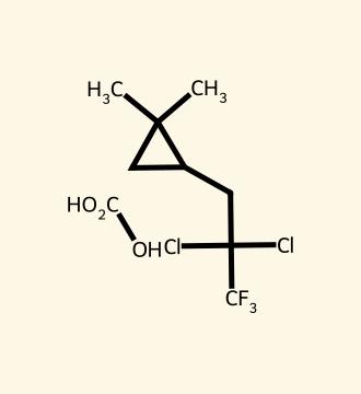 CC1(C)CC1CC(Cl)(Cl)C(F)(F)F.O=C(O)O